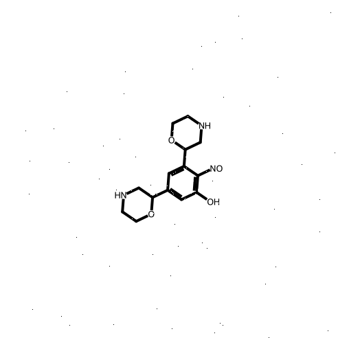 O=Nc1c(O)cc(C2CNCCO2)cc1C1CNCCO1